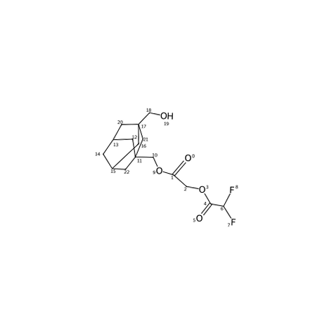 O=C(COC(=O)C(F)F)OCC12CC3CC(CC(CO)(C3)C1)C2